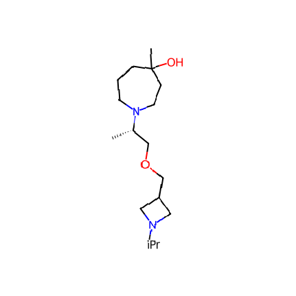 CC(C)N1CC(COC[C@H](C)N2CCCC(C)(O)CC2)C1